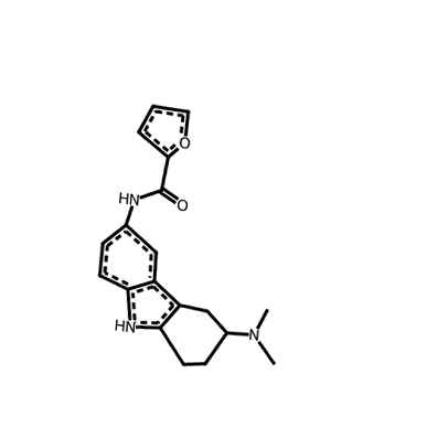 CN(C)C1CCc2[nH]c3ccc(NC(=O)c4ccco4)cc3c2C1